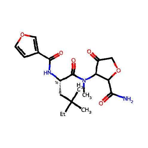 CCC(C)(C)C[C@H](NC(=O)c1ccoc1)C(=O)N(C)C1C(=O)COC1C(N)=O